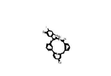 O=C1NC2=Nc3cc(F)c(F)cc3C2Cc2cccc(c2)-c2ccc(=O)cc(n2)Cc2cccc1c2